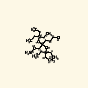 CC[Si](CC)(CC)OC(CCCCl)(CO[SiH3])O[Si](CC)(CC)CC